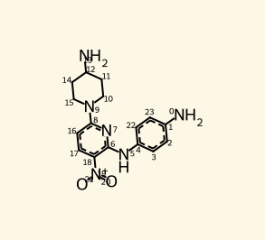 Nc1ccc(Nc2nc(N3CCC(N)CC3)ccc2[N+](=O)[O-])cc1